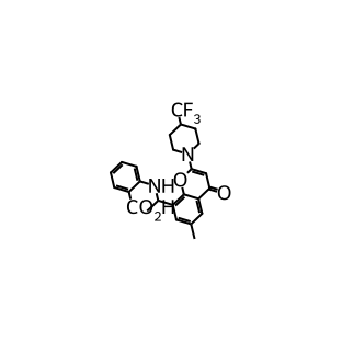 Cc1cc(C(C)Nc2ccccc2C(=O)O)c2oc(N3CCC(C(F)(F)F)CC3)cc(=O)c2c1